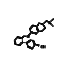 CN(C)CC1CCc2cc(OCc3ccccc3-c3ccc(F)cc3)ccc2C1.Cl